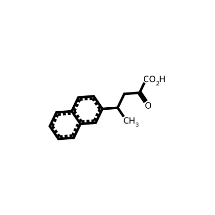 CC(CC(=O)C(=O)O)c1ccc2ccccc2c1